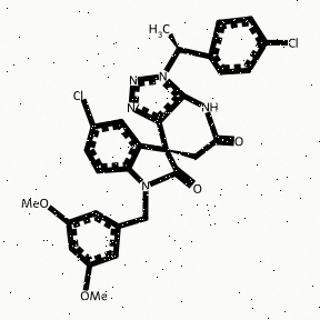 COc1cc(CN2C(=O)[C@]3(CC(=O)Nc4c3nnn4[C@@H](C)c3ccc(Cl)cc3)c3cc(Cl)ccc32)cc(OC)c1